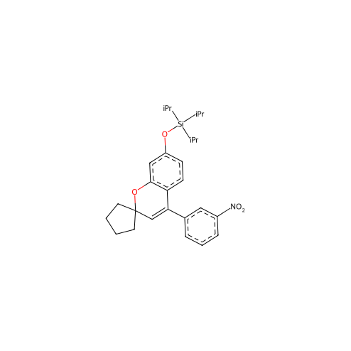 CC(C)[Si](Oc1ccc2c(c1)OC1(C=C2c2cccc([N+](=O)[O-])c2)CCCC1)(C(C)C)C(C)C